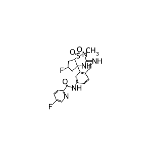 CN1C(=N)NC2(c3cc(NC(=O)c4ccc(F)cn4)ccc3F)CC(F)CC2S1(=O)=O